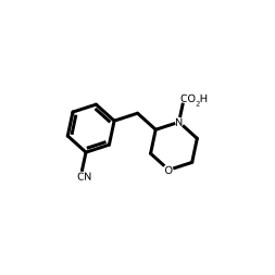 N#Cc1cccc(CC2COCCN2C(=O)O)c1